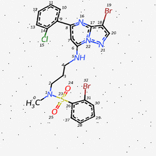 CN(CCCNc1cc(-c2ccccc2Cl)nc2c(Br)cnn12)S(=O)(=O)c1ccccc1Br